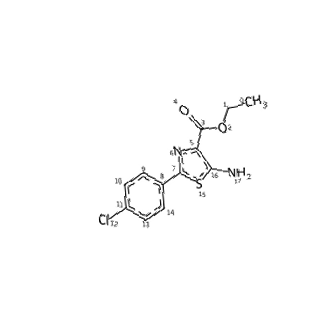 CCOC(=O)c1nc(-c2ccc(Cl)cc2)sc1N